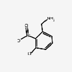 NCc1cccc(Cl)c1[N+](=O)[O-]